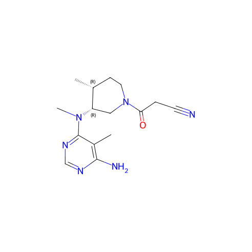 Cc1c(N)ncnc1N(C)[C@H]1CN(C(=O)CC#N)CC[C@H]1C